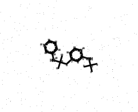 CC(C)(C)Nc1cc(CC(C)(C)Nc2cccnc2)ccn1